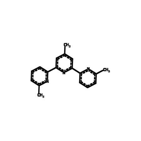 Cc1cc(-c2cccc(C)n2)nc(-c2cccc(C)n2)c1